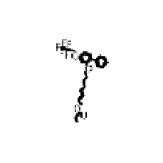 C=CC(=O)OCCCCCCCCOc1cc(OCC(F)(F)C(F)(F)F)ccc1-c1ccccc1